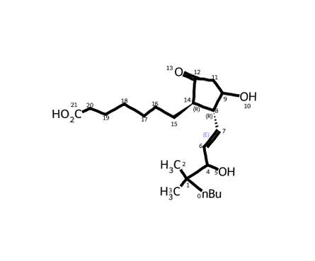 CCCCC(C)(C)C(O)/C=C/[C@H]1C(O)CC(=O)[C@@H]1CCCCCCC(=O)O